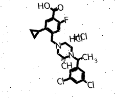 CC(c1cc(Cl)cc(Cl)c1)N1CCN(Cc2cc(F)c(C(=O)O)cc2C2CC2)C[C@H]1C.Cl.Cl